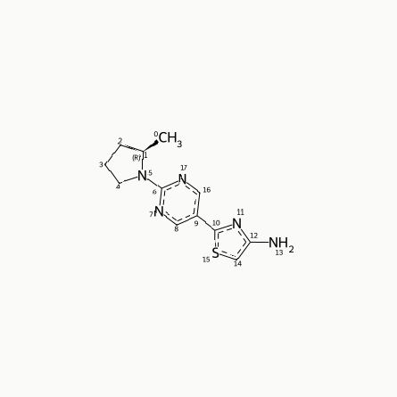 C[C@@H]1CCCN1c1ncc(-c2nc(N)cs2)cn1